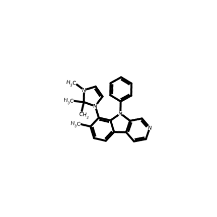 Cc1ccc2c3ccncc3n(-c3ccccc3)c2c1N1C=CN(C)C1(C)C